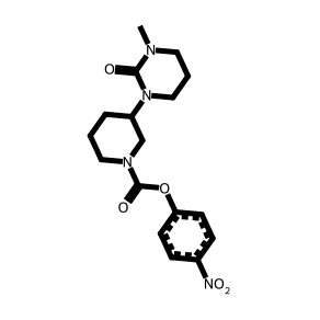 CN1CCCN(C2CCCN(C(=O)Oc3ccc([N+](=O)[O-])cc3)C2)C1=O